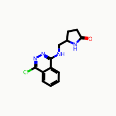 O=C1CCC(CNc2nnc(Cl)c3ccccc23)N1